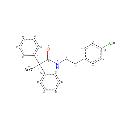 CC(=O)OC(C(=O)NCCc1ccc(Cl)cc1)(c1ccccc1)c1ccccc1